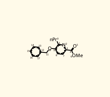 CCCc1nc(C(=O)OC)ccc1OCc1ccccc1